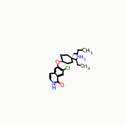 CCCC[C@]1(C(N)CC)CC[C@@H](Oc2cc3cc[nH]c(=O)c3cc2Cl)CC1